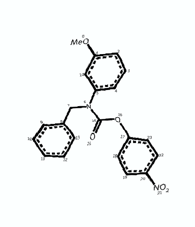 COc1cccc(N(Cc2ccccc2)C(=O)Oc2ccc([N+](=O)[O-])cc2)c1